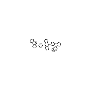 c1ccc2c(c1)-c1ccc(-c3c4ccccc4c(-c4ccc(-c5cccc6c5sc5ccccc56)cc4)c4ccccc34)cc1C21C2CC3CC(C2)CC1C3